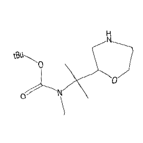 CN(C(=O)OC(C)(C)C)C(C)(C)C1CNCCO1